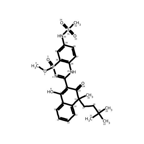 COP1(=O)N=C(C2=C(O)c3ccccc3C(C)(CCC(C)(C)C)C2=O)Nc2ccc(NS(C)(=O)=O)cc21